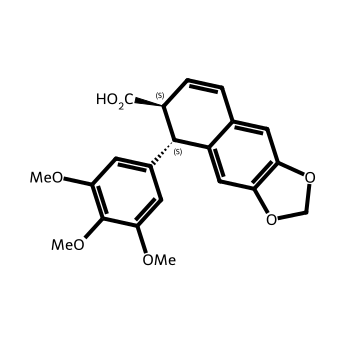 COc1cc([C@H]2c3cc4c(cc3C=C[C@@H]2C(=O)O)OCO4)cc(OC)c1OC